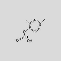 Cc1ccc(O[PH](=O)O)c(C)c1